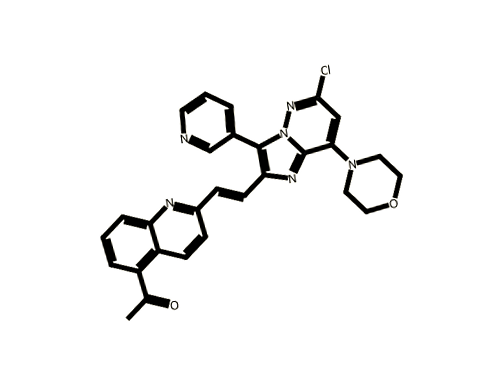 CC(=O)c1cccc2nc(/C=C/c3nc4c(N5CCOCC5)cc(Cl)nn4c3-c3cccnc3)ccc12